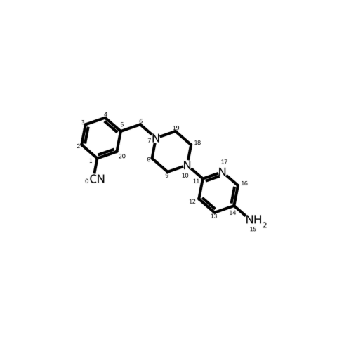 N#Cc1cccc(CN2CCN(c3ccc(N)cn3)CC2)c1